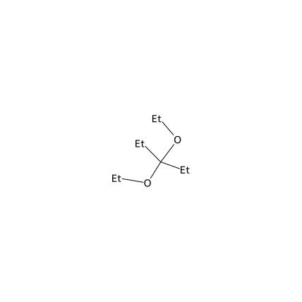 CCOC(CC)(CC)OCC